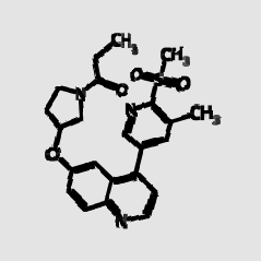 CCC(=O)N1CCC(Oc2ccc3nccc(-c4cnc(S(C)(=O)=O)c(C)c4)c3c2)C1